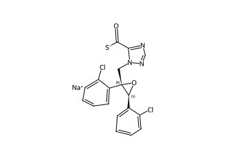 O=C([S-])c1ncnn1C[C@@]1(c2ccccc2Cl)O[C@H]1c1ccccc1Cl.[Na+]